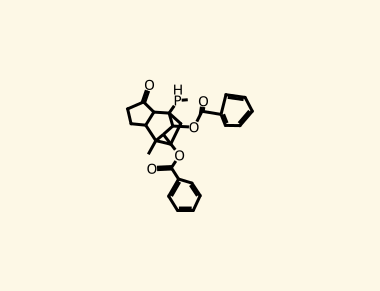 CPC12CCC(C)(C3CCC(=O)C31)C(OC(=O)c1ccccc1)C2OC(=O)c1ccccc1